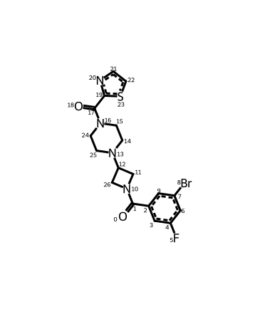 O=C(c1cc(F)cc(Br)c1)N1CC(N2CCN(C(=O)c3nccs3)CC2)C1